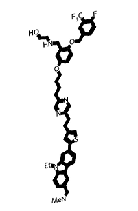 CCn1c2ccc(CNC)cc2c2ccc(-c3cc(CCc4cnc(CCCCOc5ccc(OCc6ccc(F)c(C(F)(F)F)c6)c(CNCCO)c5)cn4)cs3)cc21